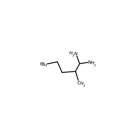 CC(CCC(C)(C)C)C(N)N